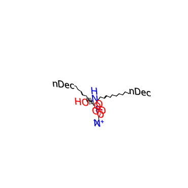 CCCCCCCCCCCCC=CC[C@@H](O)[C@H](COP(=O)([O-])OCC[N+](C)(C)C)NC(=O)CC=CCCCCCCCCCCCCCCCCC